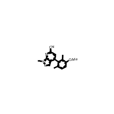 COc1ccc(C)c(-c2cc(C#N)nc3c2cnn3C)c1C